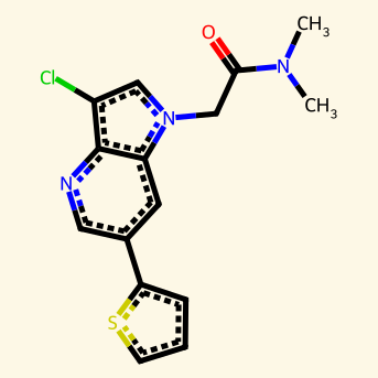 CN(C)C(=O)Cn1cc(Cl)c2ncc(-c3cccs3)cc21